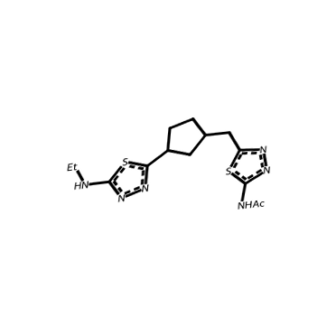 CCNc1nnc(C2CCC(Cc3nnc(NC(C)=O)s3)C2)s1